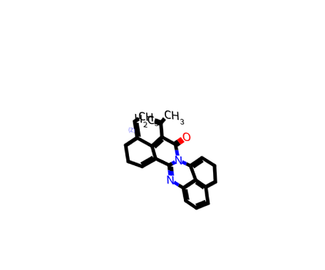 C=C(C)c1c2c(c3nc4cccc5c4c(n3c1=O)=CCC5)=CCC/C2=C/C